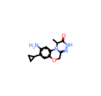 CC1C(=O)NN=C2COc3cc(C4CC4)c(N)cc3N21